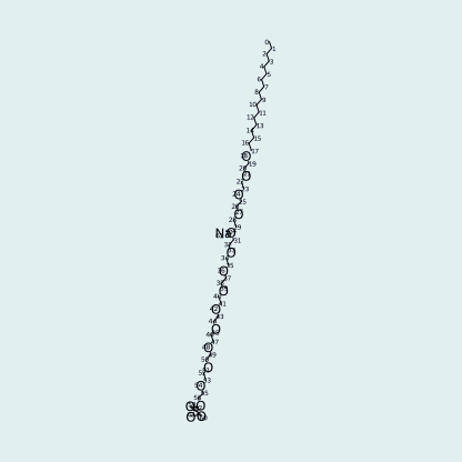 CCCCCCCCCCCCCCCCCCOCCOCCOCCOCCOCCOCCOCCOCCOCCOCCOCCOCCOCCOS(=O)(=O)[O-].[Na+]